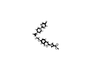 COC(=O)C1CN(C(=O)Cc2ccc(OCC[C@@H]3C[C@@H]3C3CCN(c4ncc(C)cn4)CC3)cc2F)C1